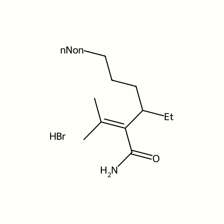 Br.CCCCCCCCCCCCC(CC)C(C(N)=O)=C(C)C